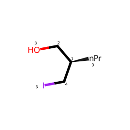 CCC[C@H](CO)CI